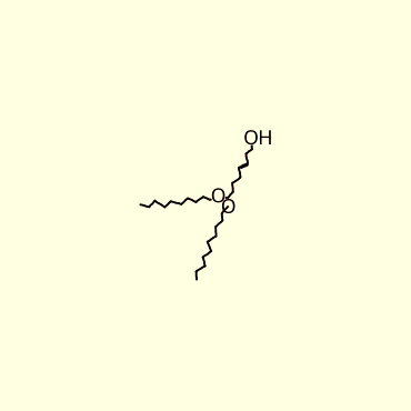 CCCCCCCCCCOC(CCC/C=C/CCO)OCCCCCCCCCC